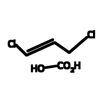 ClC=CCCl.O=C(O)O